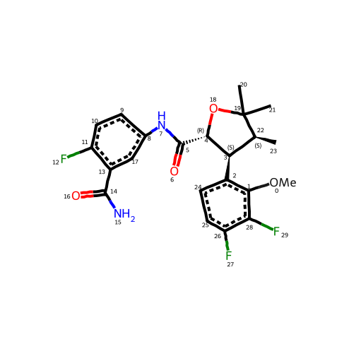 COc1c([C@H]2[C@H](C(=O)Nc3ccc(F)c(C(N)=O)c3)OC(C)(C)[C@H]2C)ccc(F)c1F